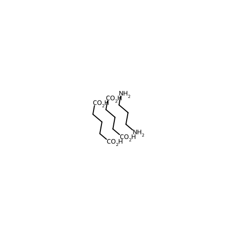 NCCCN.O=C(O)CCCC(=O)O.O=C(O)CCCC(=O)O